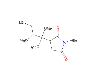 COC(C[SiH3])C(OC)(OC)C1CC(=O)N(C(C)(C)C)C1=O